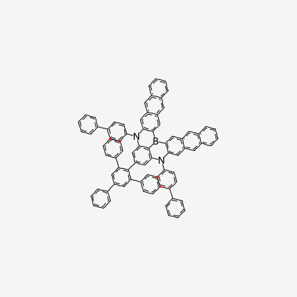 c1ccc(-c2ccc(N3c4cc5cc6ccccc6cc5cc4B4c5cc6cc7ccccc7cc6cc5N(c5ccc(-c6ccccc6)cc5)c5cc(-c6c(-c7ccccc7)cc(-c7ccccc7)cc6-c6ccccc6)cc3c54)cc2)cc1